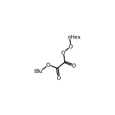 CCCCCCOOC(=O)C(=O)OC(C)(C)C